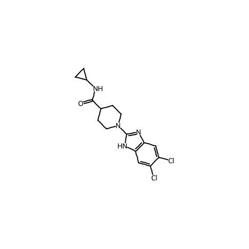 O=C(NC1CC1)C1CCN(c2nc3cc(Cl)c(Cl)cc3[nH]2)CC1